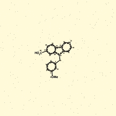 COc1cccc(Cn2c3ccncc3c3ccc(C(=O)O)cc32)c1